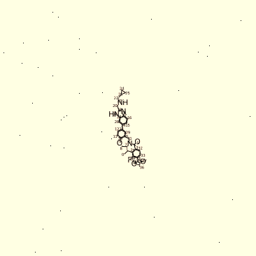 CCc1c(C(=O)N2CCOc3ccc(-c4ccc5nc(CNCC6CC6)[nH]c5c4)cc3C2)ccc(S(C)(=O)=O)c1F